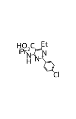 CCc1nc(-c2ccc(Cl)cc2)nc(NC(C)C)c1C(=O)O